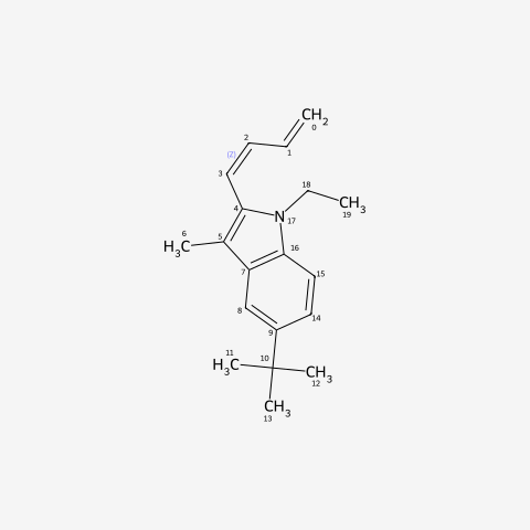 C=C/C=C\c1c(C)c2cc(C(C)(C)C)ccc2n1CC